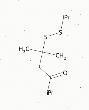 CC(C)SSC(C)(C)CC(=O)C(C)C